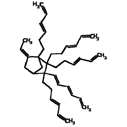 C=CC=CC=CC1(CCC=CC=C)C2CC(=CC)C(CCC=CC=C)(C2)C1(CCC=CC=C)CCC=CC=C